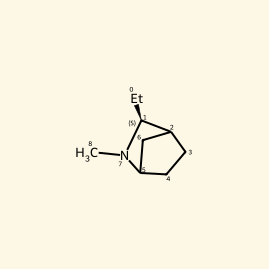 CC[C@H]1C2CCC(C2)N1C